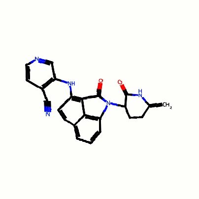 C=C1CCC(N2C(=O)c3c(Nc4cnccc4C#N)ccc4cccc2c34)C(=O)N1